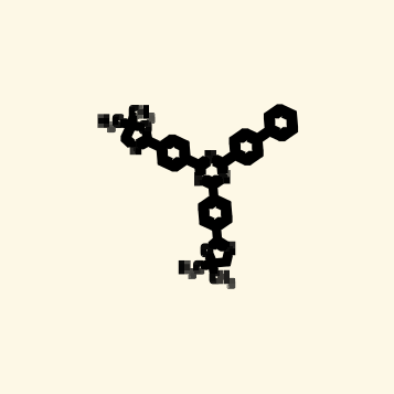 CC1(C)CN=C(c2ccc(-c3nc(-c4ccc(C5=NCC(C)(C)O5)cc4)nc(-c4ccc(-c5ccccc5)cc4)n3)cc2)O1